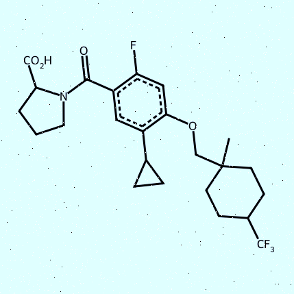 CC1(COc2cc(F)c(C(=O)N3CCCC3C(=O)O)cc2C2CC2)CCC(C(F)(F)F)CC1